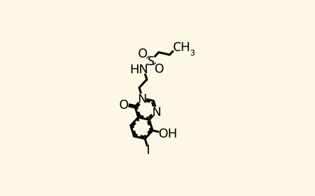 CCCS(=O)(=O)NCCn1cnc2c(O)c(I)ccc2c1=O